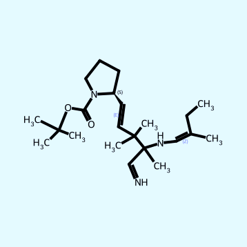 CC/C(C)=C\NC(C)(C=N)C(C)(C)/C=C/[C@@H]1CCCN1C(=O)OC(C)(C)C